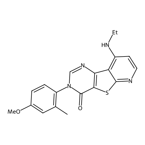 CCNc1ccnc2sc3c(=O)n(-c4ccc(OC)cc4C)cnc3c12